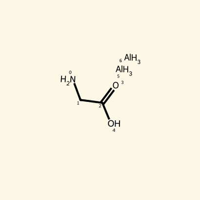 NCC(=O)O.[AlH3].[AlH3]